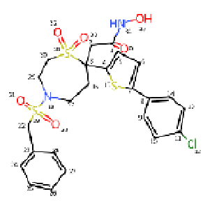 O=C(CC1(c2ccc(-c3ccc(Cl)cc3)s2)CCN(S(=O)(=O)Cc2ccccc2)CCS1(=O)=O)NO